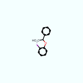 O=C(O)C(Oc1ccccc1I)c1ccccc1